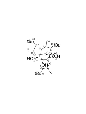 CC(CC(C(=O)O)C(O)(C(=O)O)C(CC(C)CC(C)(C)C)(CC(C)CC(C)(C)C)C(=O)O)CC(C)(C)C